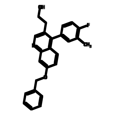 Cc1cc(-c2c(CCO)cnc3cc(OCc4ccccc4)ccc23)ccc1F